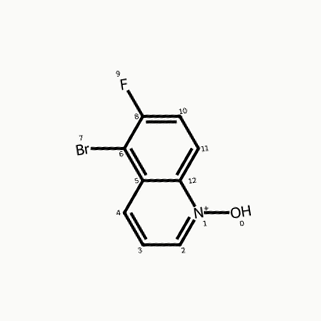 O[n+]1cccc2c(Br)c(F)ccc21